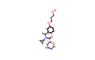 COCCCOc1cccc(C(C)N(C(=O)[C@H]2CNCCO2)C2CC2)c1